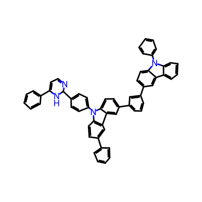 C1=NC(c2ccc(-n3c4ccc(-c5ccccc5)cc4c4cc(-c5cccc(-c6ccc7c(c6)c6ccccc6n7-c6ccccc6)c5)ccc43)cc2)NC(c2ccccc2)=C1